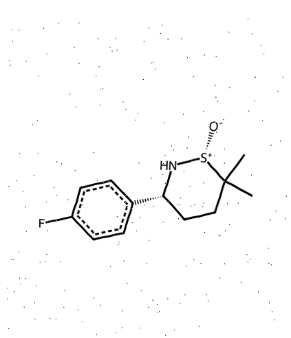 CC1(C)CC[C@H](c2ccc(F)cc2)N[S@+]1[O-]